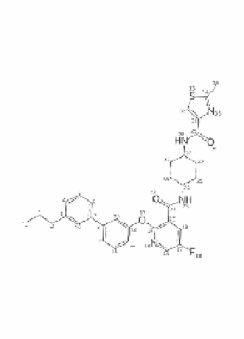 [CH2]CCc1cccc(-c2cccc(Oc3ncc(F)cc3C(=O)N[C@H]3CC[C@H](NC(=O)c4csc(C)n4)CC3)c2)c1